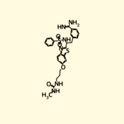 CNC(=O)NCCCOc1ccc2nc(C(Cc3cccc(C(=N)N)c3)NS(=O)(=O)c3ccccc3)sc2c1